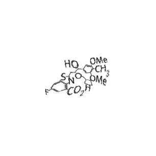 COc1cc([C@@H](O)[C@H](Cc2nc3c(C(=O)O)cc(F)cc3s2)OCC2CCCC2)cc(OC)c1C